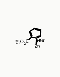 Br.CCOC(=O)c1cccc[c]1[Zn]